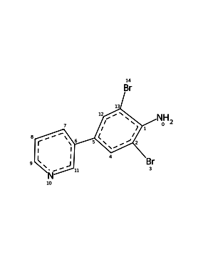 Nc1c(Br)cc(-c2cccnc2)cc1Br